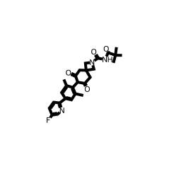 Cc1cc(-c2ccc(F)cn2)cc(C)c1C1C(=O)CC2(CC1=O)CN(C(=O)NC(=O)C(C)(C)C)C2